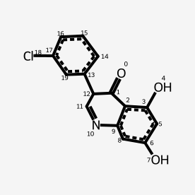 O=C1c2c(O)cc(O)cc2N=CC1c1cccc(Cl)c1